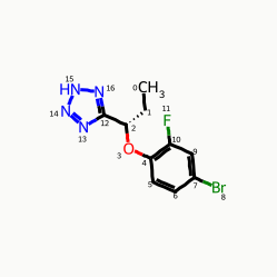 CC[C@H](Oc1ccc(Br)cc1F)c1nn[nH]n1